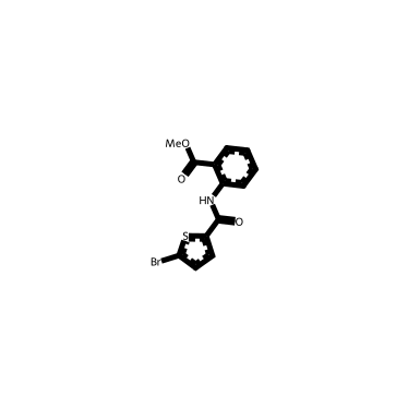 COC(=O)c1ccccc1NC(=O)c1ccc(Br)s1